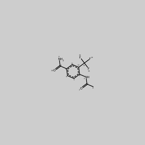 CC(=O)Nc1ccc(C(N)=O)cc1C(F)(F)F